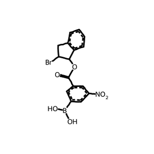 O=C(OC1c2ccccc2CC1Br)c1cc(B(O)O)cc([N+](=O)[O-])c1